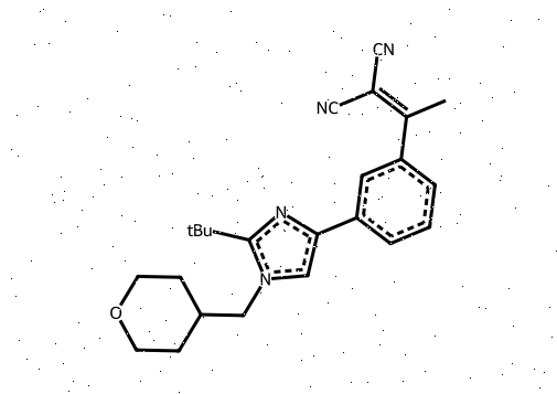 CC(=C(C#N)C#N)c1cccc(-c2cn(CC3CCOCC3)c(C(C)(C)C)n2)c1